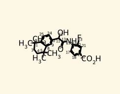 CC1(C)CCC(C)(C)c2cc(C(O)C(=O)Nc3ccc(C(=O)O)cc3F)ccc21